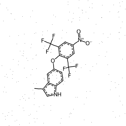 Cc1c[nH]c2ccc(Oc3c(C(F)(F)F)cc([N+](=O)[O-])cc3C(F)(F)F)cc12